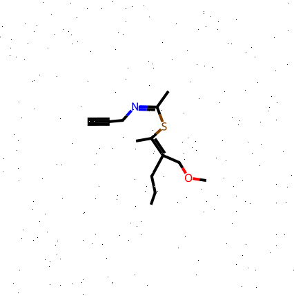 C#CC/N=C(/C)S/C(C)=C(/CCC)COC